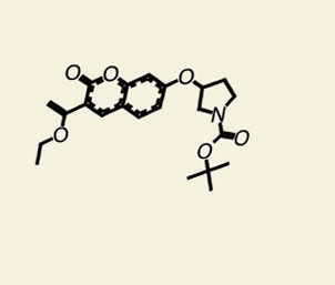 C=C(OCC)c1cc2ccc(OC3CCN(C(=O)OC(C)(C)C)C3)cc2oc1=O